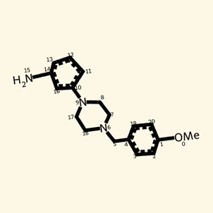 COc1ccc(CN2CCN(c3cccc(N)c3)CC2)cc1